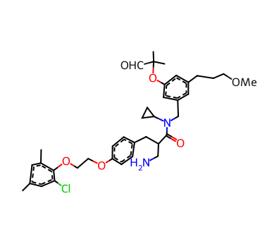 COCCCc1cc(CN(C(=O)C(CN)Cc2ccc(OCCOc3c(C)cc(C)cc3Cl)cc2)C2CC2)cc(OC(C)(C)C=O)c1